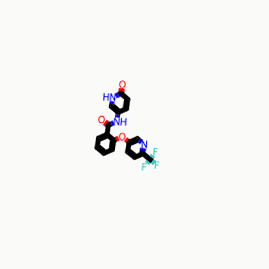 O=C(Nc1ccc(=O)[nH]c1)c1ccccc1Oc1ccc(C(F)(F)F)nc1